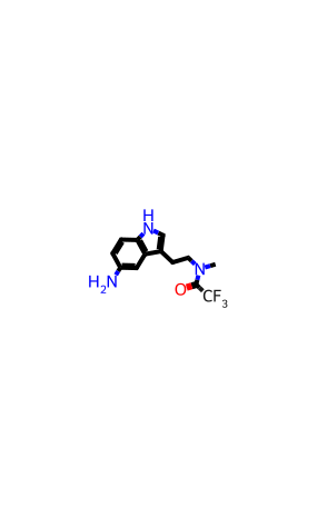 CN(CCc1c[nH]c2ccc(N)cc12)C(=O)C(F)(F)F